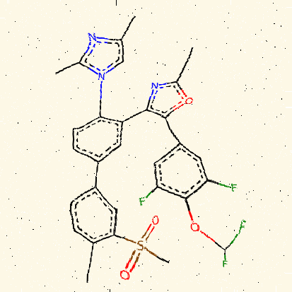 Cc1cn(-c2ccc(-c3ccc(C)c(S(C)(=O)=O)c3)cc2-c2nc(C)oc2-c2cc(F)c(OC(F)F)c(F)c2)c(C)n1